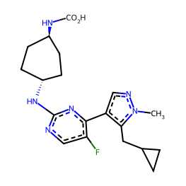 Cn1ncc(-c2nc(N[C@H]3CC[C@H](NC(=O)O)CC3)ncc2F)c1CC1CC1